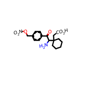 NC(C(=O)c1ccc(CO[N+](=O)[O-])cc1)C1(CC(=O)O)CCCCC1